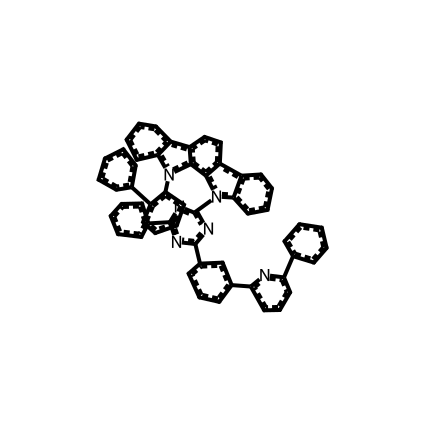 c1ccc(-c2cccc(-c3cccc(-c4nc(-c5ccccc5)nc(-n5c6ccccc6c6ccc7c8ccccc8n(-c8ccccc8-c8ccccc8)c7c65)n4)c3)n2)cc1